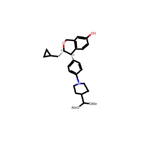 COC(OC)C1CCN(c2ccc([C@H]3c4ccc(O)cc4CO[C@H]3CC3CC3)cc2)CC1